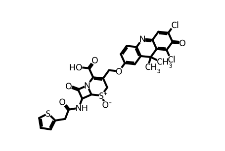 CC1(C)C2=C(Cl)C(=O)C(Cl)=CC2=Nc2ccc(OCC3=C(C(=O)O)N4C(=O)C(NC(=O)Cc5cccs5)C4[S+]([O-])C3)cc21